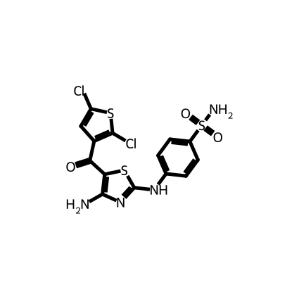 Nc1nc(Nc2ccc(S(N)(=O)=O)cc2)sc1C(=O)c1cc(Cl)sc1Cl